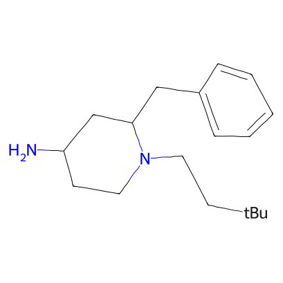 CC(C)(C)CCN1CCC(N)CC1Cc1ccccc1